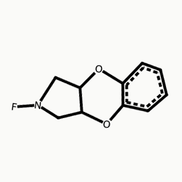 FN1CC2Oc3ccccc3OC2C1